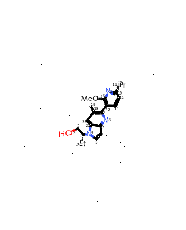 CC[C@H](CO)n1ccc2nc(-c3ccc(C(C)C)nc3OC)c(C)cc21